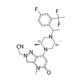 CC(c1ccc(F)cc1C(C)(F)F)N1C[C@H](C)N(c2cc(=O)n(C)c3cn(CC#N)nc23)C[C@H]1C